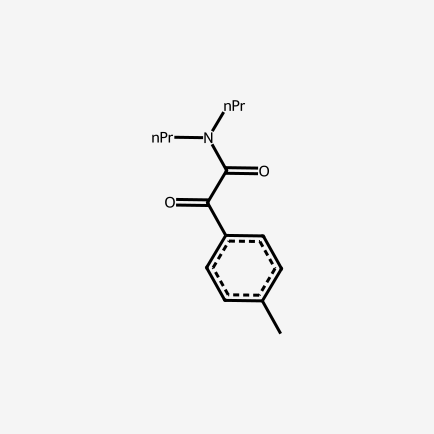 CCCN(CCC)C(=O)C(=O)c1ccc(C)cc1